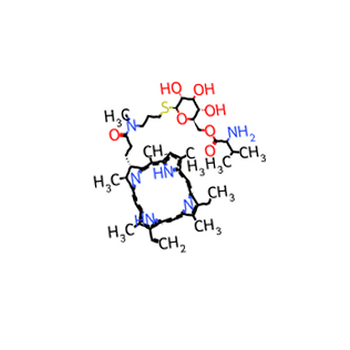 C=Cc1c(C)c2cc3nc(c(C)c4cc(C)c(cc5nc(cc1[nH]2)C(C)=C5CC)[nH]4)[C@@H](CCC(=O)N(C)CCCS[C@@H]1O[C@H](COC(=O)[C@@H](N)C(C)C)[C@@H](O)[C@H](O)[C@H]1O)[C@@H]3C